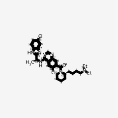 CCN(CC)CCCC[C@H]1CCCCN1C(=O)c1cc2ncnc(N[C@@H](C)c3nc4cc(Cl)ccc4[nH]3)c2cc1Cl